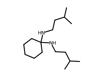 CC(C)CCNC1(NCCC(C)C)CCCCC1